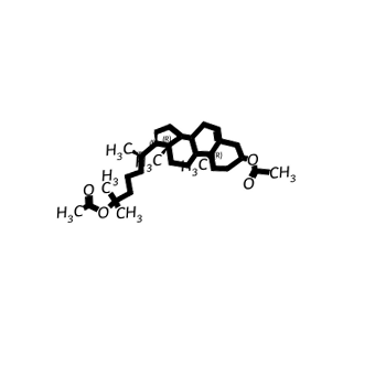 CC(=O)OC1CC[C@@]2(C)C(=CCC3C2CC[C@@]2(C)C3CC[C@@H]2[C@H](C)CCCC(C)(C)OC(C)=O)C1